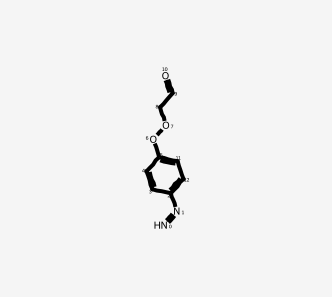 N=Nc1ccc(OOCC=O)cc1